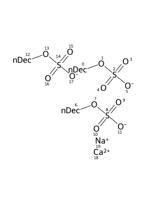 CCCCCCCCCCOS(=O)(=O)[O-].CCCCCCCCCCOS(=O)(=O)[O-].CCCCCCCCCCOS(=O)(=O)[O-].[Ca+2].[Na+]